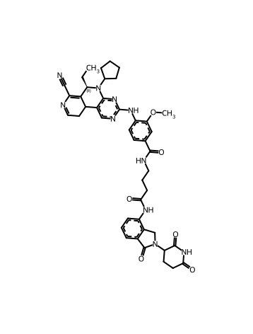 CC[C@@H]1C2=C(C#N)N=CCC2c2cnc(Nc3ccc(C(=O)NCCCC(=O)Nc4cccc5c4CN(C4CCC(=O)NC4=O)C5=O)cc3OC)nc2N1C1CCCC1